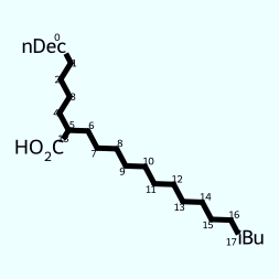 CCCCCCCCCCCCCCC(CCCCCCCCCCCC(C)CC)C(=O)O